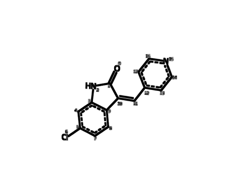 O=C1Nc2cc(Cl)ccc2C1=Cc1ccncc1